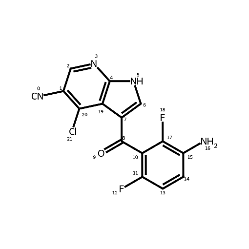 [C-]#[N+]c1cnc2[nH]cc(C(=O)c3c(F)ccc(N)c3F)c2c1Cl